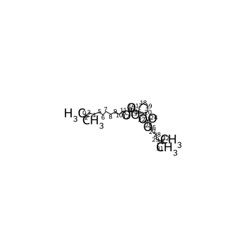 CC(C)CCCCCCCCCOC(=O)OC1CCCCC1OC(=O)OCCCCC(C)C